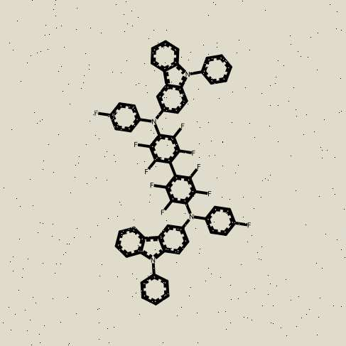 Fc1ccc(N(c2ccc3c(c2)c2ccccc2n3-c2ccccc2)c2c(F)c(F)c(-c3c(F)c(F)c(N(c4ccc(F)cc4)c4ccc5c(c4)c4ccccc4n5-c4ccccc4)c(F)c3F)c(F)c2F)cc1